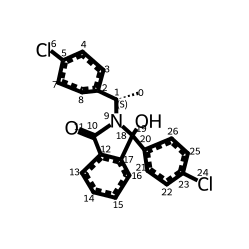 C[C@@H](c1ccc(Cl)cc1)N1C(=O)c2ccccc2C1(O)c1ccc(Cl)cc1